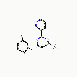 Cc1ccc(F)cc1Nc1cc(C(F)(F)F)nc(-c2cccnc2)n1